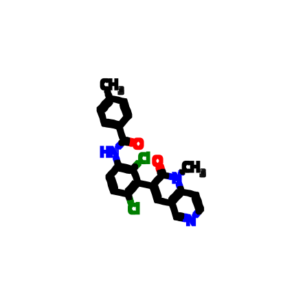 Cc1ccc(C(=O)Nc2ccc(Cl)c(-c3cc4cnccc4n(C)c3=O)c2Cl)cc1